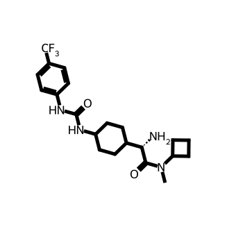 CN(C(=O)[C@@H](N)C1CCC(NC(=O)Nc2ccc(C(F)(F)F)cc2)CC1)C1CCC1